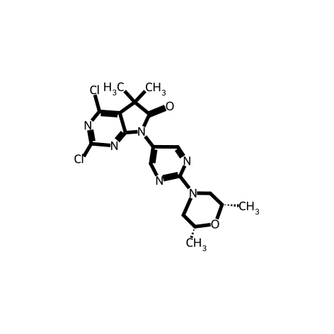 C[C@@H]1CN(c2ncc(N3C(=O)C(C)(C)c4c(Cl)nc(Cl)nc43)cn2)C[C@H](C)O1